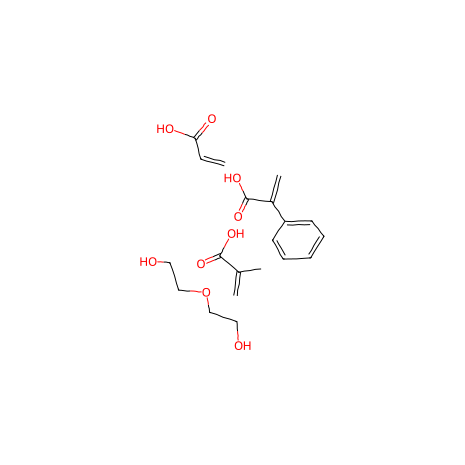 C=C(C(=O)O)c1ccccc1.C=C(C)C(=O)O.C=CC(=O)O.OCCOCCO